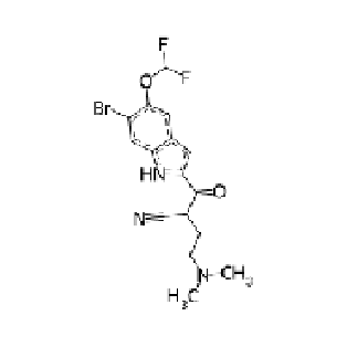 CN(C)CCC(C#N)C(=O)c1cc2cc(OC(F)F)c(Br)cc2[nH]1